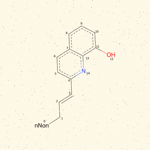 CCCCCCCCCC/C=C/c1ccc2cccc(O)c2n1